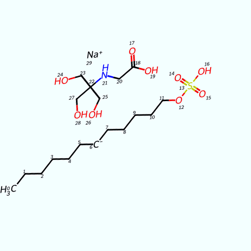 CCCCCC[CH-]CCCCCOS(=O)(=O)O.O=C(O)CNC(CO)(CO)CO.[Na+]